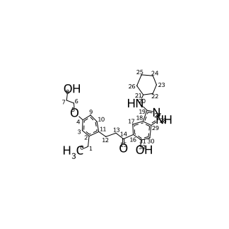 CCc1cc(OCCO)ccc1CCC(=O)c1cc2c(NC3CCCCC3)n[nH]c2cc1O